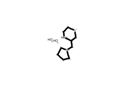 C1CCN(CC2CSCCN2)C1.Cl.Cl